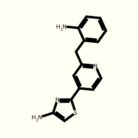 Nc1csc(-c2ccnc(Cc3ccccc3N)c2)n1